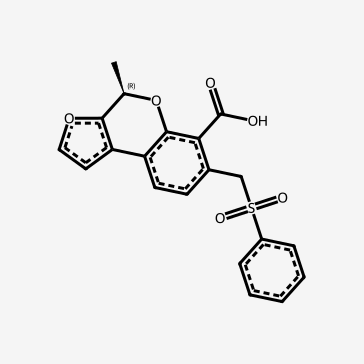 C[C@H]1Oc2c(ccc(CS(=O)(=O)c3ccccc3)c2C(=O)O)-c2ccoc21